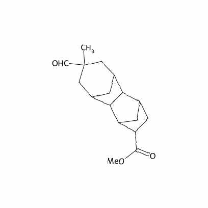 COC(=O)C1CC2CC1C1C3CC(CC(C)(C=O)C3)C21